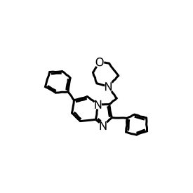 c1ccc(-c2ccc3nc(-c4ccccc4)c(CN4CCOCC4)n3c2)cc1